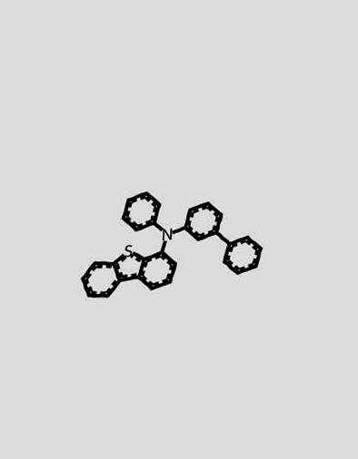 c1ccc(-c2cccc(N(c3ccccc3)c3cccc4c3sc3ccccc34)c2)cc1